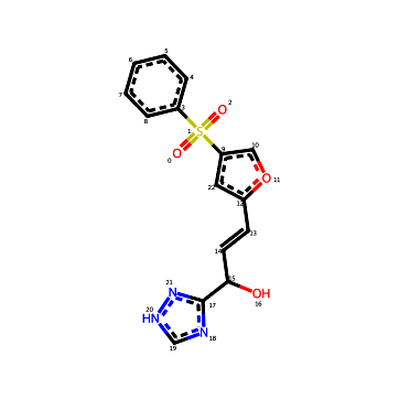 O=S(=O)(c1ccccc1)c1coc(C=CC(O)c2nc[nH]n2)c1